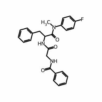 CN(C(=O)C(Cc1ccccc1)NC(=O)CNC(=O)c1ccccc1)c1ccc(F)cc1